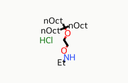 CCCCCCCCC(CCCCCCCC)(CCCCCCCC)OCCONCC.Cl